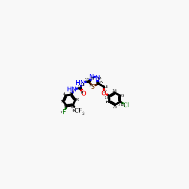 O=C(Nc1ccc(F)c(C(F)(F)F)c1)Nc1nnc(COc2ccc(Cl)cc2)s1